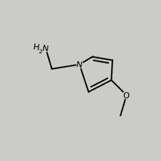 COc1ccn(CN)c1